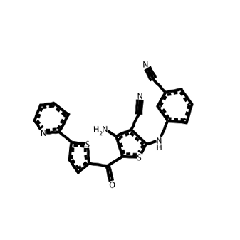 N#Cc1cccc(Nc2sc(C(=O)c3ccc(-c4ccccn4)s3)c(N)c2C#N)c1